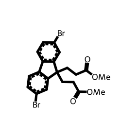 COC(=O)CCC1(CCC(=O)OC)c2cc(Br)ccc2-c2ccc(Br)cc21